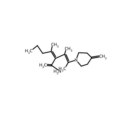 C=C1CCN(/C(C)=C(C)/C(C(=C)N)=C(\C)CCC)CC1